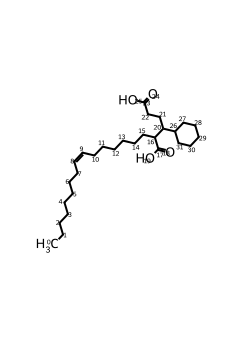 CCCCCCCC/C=C\CCCCCCC(C(=O)O)C(CCC(=O)O)C1CCCCC1